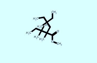 CCC(C)(CC)CC(C)(C(=O)OC)C(C)(C)CC